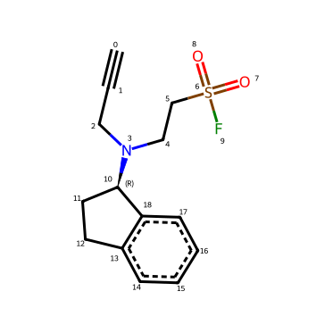 C#CCN(CCS(=O)(=O)F)[C@@H]1CCc2ccccc21